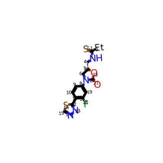 CCC(=S)NC[C@H]1CN(c2ccc(-c3nncs3)c(F)c2)C(=O)O1